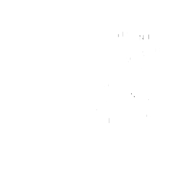 CCCNS(=O)(=O)c1ccc(=O)n(CC(=O)C2(Cl)C=CC(c3ccccc3)C=C2)c1